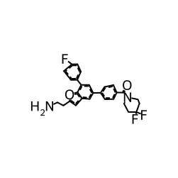 NCCc1cc2cc(-c3ccc(C(=O)N4CCC(F)(F)CC4)cc3)cc(-c3ccc(F)cc3)c2o1